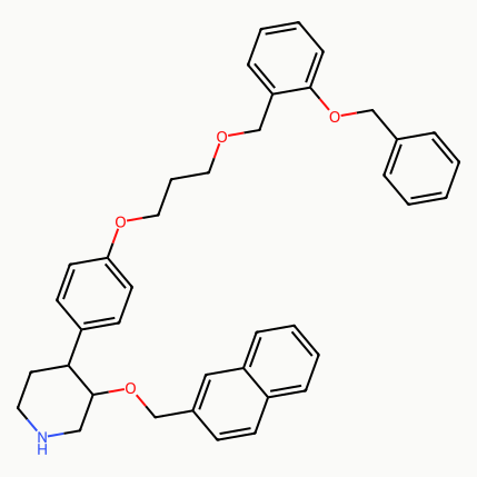 c1ccc(COc2ccccc2COCCCOc2ccc(C3CCNCC3OCc3ccc4ccccc4c3)cc2)cc1